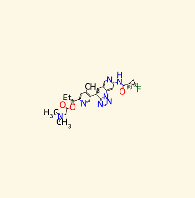 CC[C@H](OC(=O)CN(C)C)c1cc(C)c(-c2cc3cnc(NC(=O)[C@H]4C[C@H]4F)cc3n3ncnc23)cn1